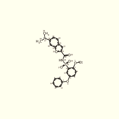 CCOc1ccc(Oc2ccccc2)cc1S(=O)(=O)NC(=O)c1cc2ccc(N(C)C)cc2o1